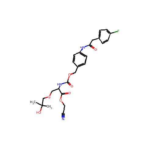 CC(C)(O)COCC(NC(=O)OCc1ccc(NC(=O)Cc2ccc(F)cc2)cc1)C(=O)OCC#N